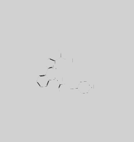 CC(O)c1csc(-c2ccccc2NC(=O)OCC2CCNCC2)n1